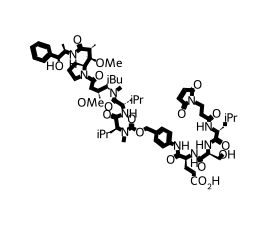 CC[C@H](C)[C@@H]([C@@H](CC(=O)N1CCC[C@H]1[C@H](OC)[C@@H](C)C(=O)N[C@H](C)[C@@H](O)c1ccccc1)OC)N(C)C(=O)[C@@H](NC(=O)[C@H](C(C)C)N(C)C(=O)OCc1ccc(NC(=O)[C@H](CCC(=O)O)NC(=O)[C@H](CO)NC(=O)[C@@H](CC(C)C)NC(=O)CCN2C(=O)C=CC2=O)cc1)C(C)C